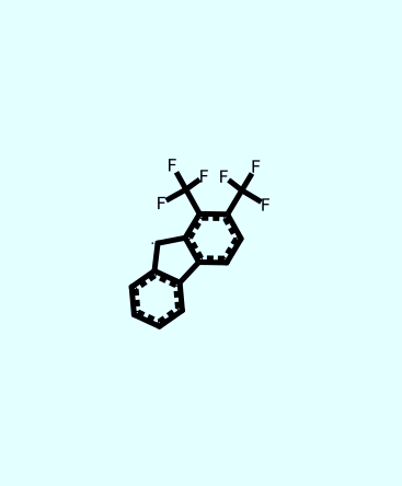 FC(F)(F)c1ccc2c(c1C(F)(F)F)[CH]c1ccccc1-2